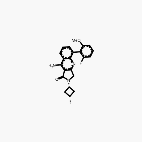 COc1cccc(F)c1-c1cccc2c(N)c3c(nc12)CN([C@H]1C[C@@H](C)C1)C3=O